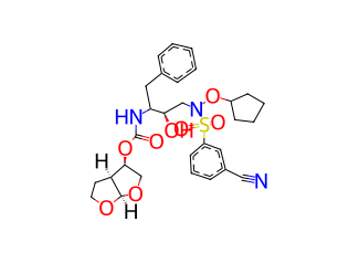 N#Cc1cccc(S(=O)(=O)N(C[C@@H](O)C(Cc2ccccc2)NC(=O)O[C@H]2CO[C@H]3OCC[C@H]32)OC2CCCC2)c1